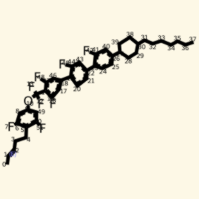 C/C=C/CCc1c(F)cc(OC(F)(F)c2c(F)cc(-c3ccc(-c4ccc(C5CCC(CCCCCCC)CC5)cc4F)cc3F)cc2F)cc1F